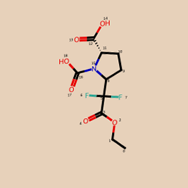 CCOC(=O)C(F)(F)C1CC[C@@H](C(=O)O)N1C(=O)O